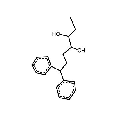 CCC(O)C(O)CCC(c1ccccc1)c1ccccc1